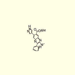 COC(=O)c1cc2nc(N(C)C(C)C)c(-c3ccccc3)nc2cc1-c1cn[nH]c1